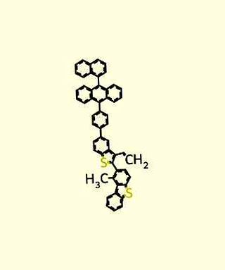 C=Cc1c(-c2ccc3sc4ccccc4c3c2C)sc2ccc(-c3ccc(-c4c5ccccc5c(-c5cccc6ccccc56)c5ccccc45)cc3)cc12